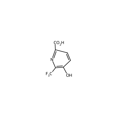 O=C(O)c1ccc(O)c(C(F)(F)F)n1